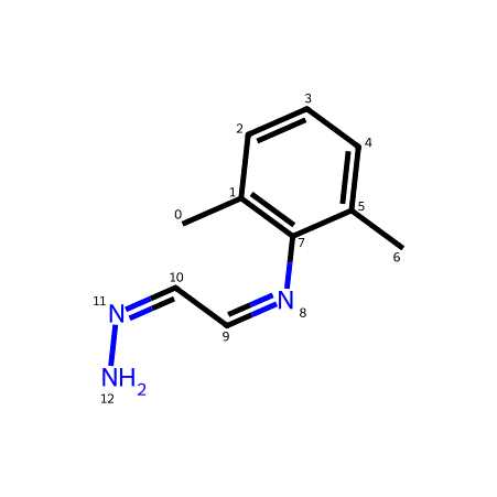 Cc1cccc(C)c1/N=C\C=N/N